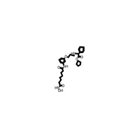 O=C(CCCCCCC(=O)Nc1cccc(OCCCNC(C(=O)OC2CCCC2)c2ccccc2)c1)NO